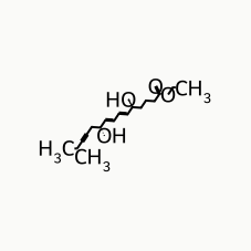 CCOC(=O)CCC[C@H](O)/C=C/C=C/[C@H](O)CC#CC(C)C